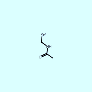 CC(=O)N[CH2][Sn]